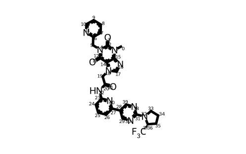 Cn1c(=O)n(Cc2ccccn2)c(=O)c2c1ncn2CC(=O)Nc1cccc(-c2cnc(N3CCC[C@H]3C(F)(F)F)nc2)n1